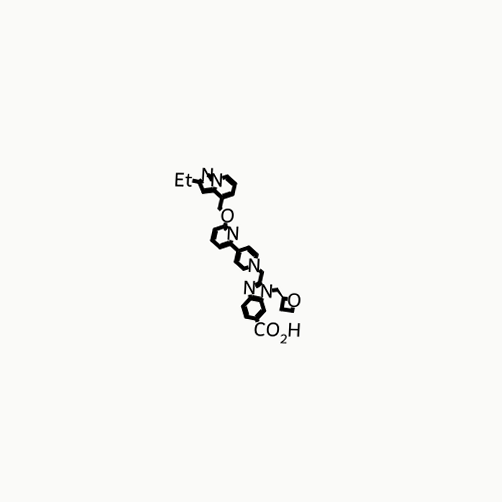 CCc1cc2c(COc3cccc(C4=CCN(Cc5nc6ccc(C(=O)O)cc6n5C[C@@H]5CCO5)C=C4)n3)cccn2n1